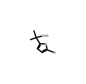 CC(C)(C=O)c1ccc(Br)s1